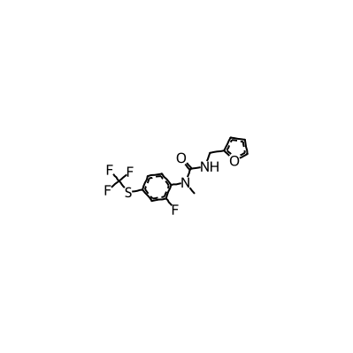 CN(C(=O)NCc1ccco1)c1ccc(SC(F)(F)F)cc1F